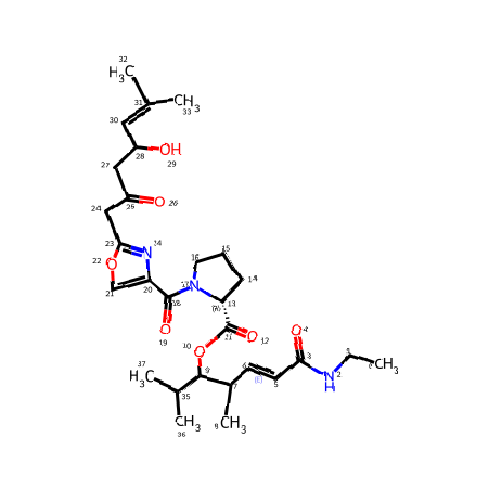 CCNC(=O)/C=C/C(C)C(OC(=O)[C@H]1CCCN1C(=O)c1coc(CC(=O)CC(O)C=C(C)C)n1)C(C)C